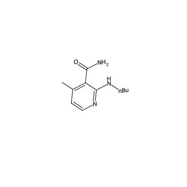 CCCCNc1nccc(C)c1C(N)=O